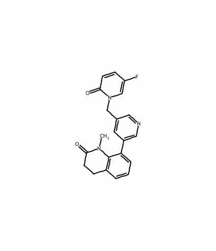 CN1C(=O)CCc2cccc(-c3cncc(Cn4cc(F)ccc4=O)c3)c21